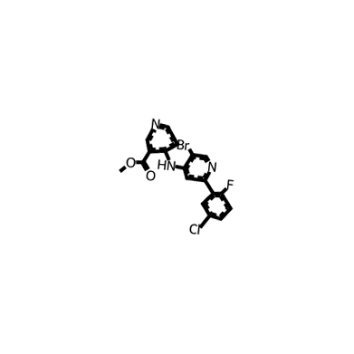 COC(=O)c1cnccc1Nc1cc(-c2cc(Cl)ccc2F)ncc1Br